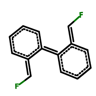 FC=c1ccccc1=c1ccccc1=CF